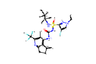 CCn1cc(F)c(S(=O)(=NC(=O)Nc2c(C)c(C(F)(F)F)nc3c2C(C)CC3)N[Si](C)(C)C(C)(C)C)n1